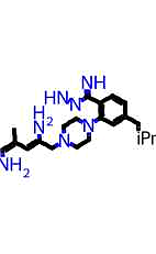 CC(=C/N)/C=C(\N)CN1CCN(c2cc(CC(C)C)ccc2C(=N)N=N)CC1